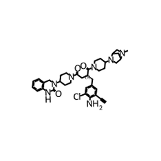 C#Cc1cc(C[C@@H](CC(=O)N2CCC(N3Cc4ccccc4NC3=O)CC2)C(=O)N2CCC(N3CC4CC3CN4C)CC2)cc(Cl)c1N